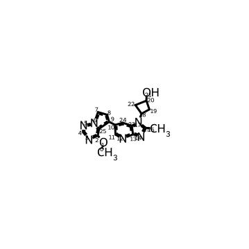 COc1ncnn2ccc(-c3cnc4nc(C)n(C5CC(O)C5)c4c3)c12